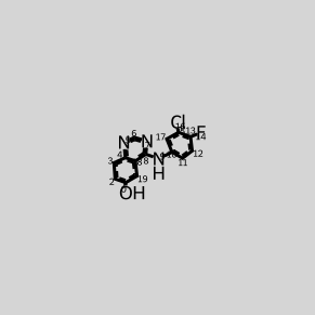 Oc1ccc2ncnc(Nc3ccc(F)c(Cl)c3)c2c1